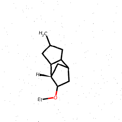 CCOC1CC2C[C@H]1C1CC(C)CC21